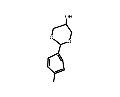 Cc1ccc(C2OCC(O)CO2)cc1